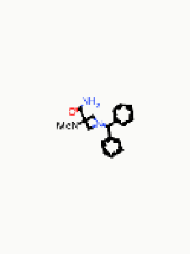 CNC1(C(N)=O)CN(C(c2ccccc2)c2ccccc2)C1